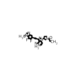 C=CC(=O)N1CCC(n2nc(C#Cc3cc4ncn(C)c4c(F)c3F)c3c(N)nccc32)C1